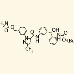 CC(C)(C)OC(=O)Nc1ccccc1C(O)c1cccc(NC(=O)c2cc(C(F)(F)F)nn2-c2cccc(COC(N)=O)c2)c1